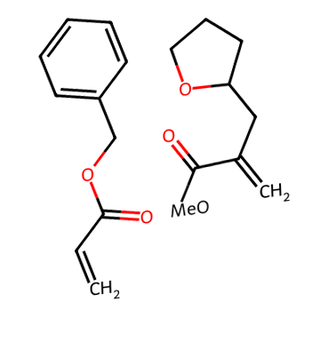 C=C(CC1CCCO1)C(=O)OC.C=CC(=O)OCc1ccccc1